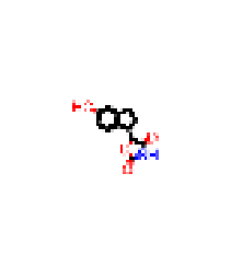 O=C1NC(=O)C([C@@H]2CCc3cc(O)ccc32)O1